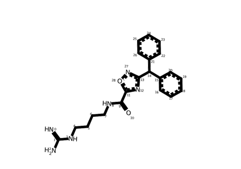 N=C(N)NCCCCNC(=O)c1nc(C(c2ccccc2)c2ccccc2)no1